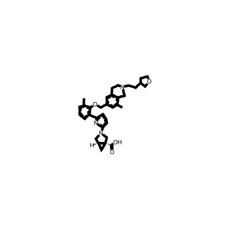 Cc1cc(COc2c(C)cccc2-c2cccc(N3C[C@@H]4C[C@]4(C(=O)O)C3)n2)cc2c1CN(CCC1CCOC1)CC2